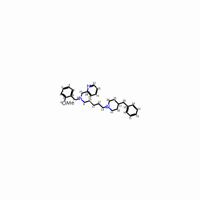 COc1ccccc1CN(CCCCCN1CCC(Cc2ccccc2)CC1)Cc1ccccn1